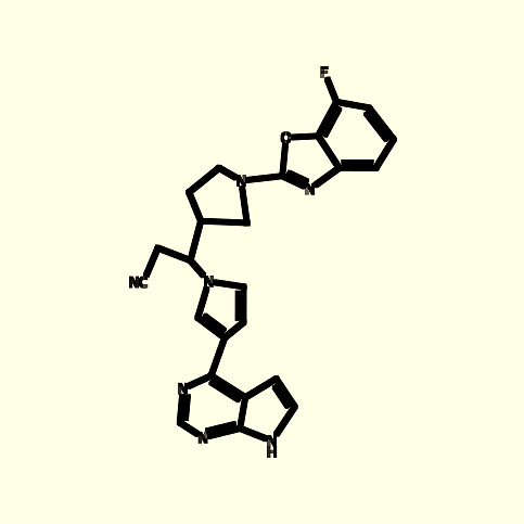 N#CCC(C1CCN(c2nc3cccc(F)c3o2)C1)n1ccc(-c2ncnc3[nH]ccc23)c1